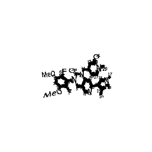 COc1cc(OC)c(F)c(N2Cc3cnc(-c4cn(C)nc4C)cc3N(Cc3ccn(C)c(=O)c3)C2=O)c1F